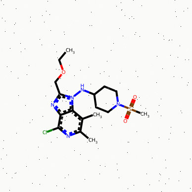 CCOCc1nc2c(Cl)nc(C)c(C)c2n1NC1CCN(S(C)(=O)=O)CC1